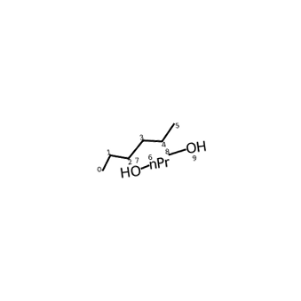 CCCCCC.CCCO.CO